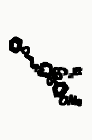 CCOC(=O)C1(S(=O)(=O)c2ccc(OC)cc2)CCN(CCCOc2ccccc2)CC1